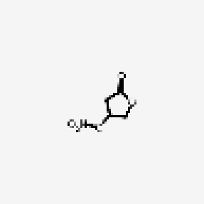 O=C1CC(O[N+](=O)[O-])CO1